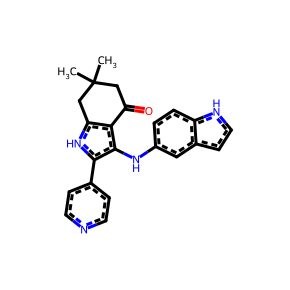 CC1(C)CC(=O)c2c([nH]c(-c3ccncc3)c2Nc2ccc3[nH]ccc3c2)C1